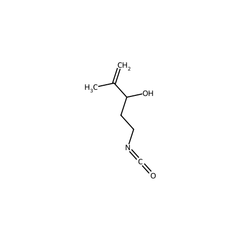 C=C(C)C(O)CCN=C=O